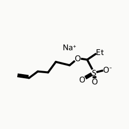 C=CCCCCOC(CC)S(=O)(=O)[O-].[Na+]